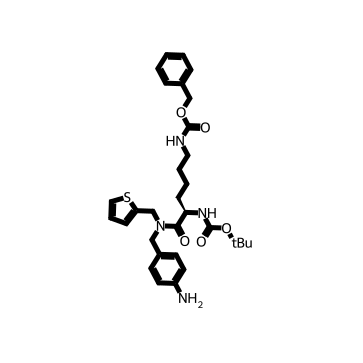 CC(C)(C)OC(=O)N[C@H](CCCCNC(=O)OCc1ccccc1)C(=O)N(Cc1ccc(N)cc1)Cc1cccs1